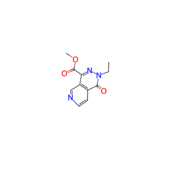 CCn1nc(C(=O)OC)c2cnccc2c1=O